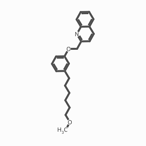 COCCCCCCc1cccc(OCc2ccc3ccccc3n2)c1